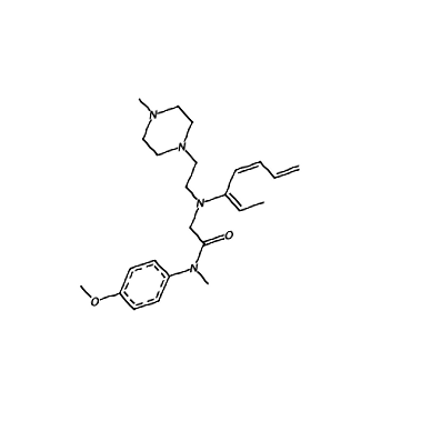 C=C/C=C\C(=C/C)N(CCN1CCN(C)CC1)CC(=O)N(C)c1ccc(OC)cc1